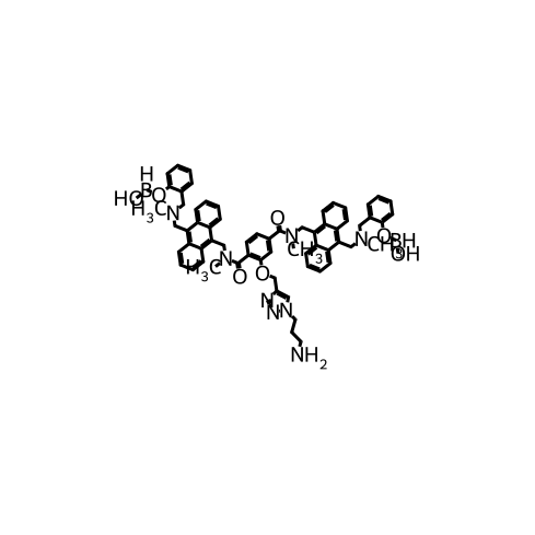 CN(Cc1ccccc1OBO)Cc1c2ccccc2c(CN(C)C(=O)c2ccc(C(=O)N(C)Cc3c4ccccc4c(CN(C)Cc4ccccc4OBO)c4ccccc34)c(OCc3cn(CCCN)nn3)c2)c2ccccc12